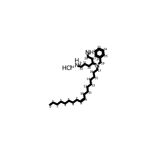 CCCCCCCC/C=C\CCCCCCCCN(Cc1ccccc1)C(CCN)CCCN.Cl